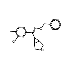 Cc1ccc(C(=NOCc2ccccc2)C2C3CNCC32)cc1Cl